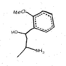 COc1ccccc1C(O)C(C)N